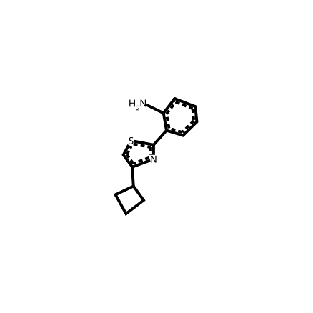 Nc1ccccc1-c1nc(C2CCC2)cs1